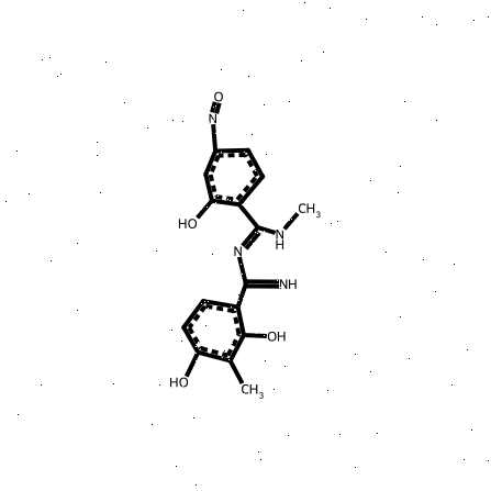 CN/C(=N\C(=N)c1ccc(O)c(C)c1O)c1ccc(N=O)cc1O